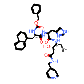 CC(C)C[C@H](NC(=O)C(Cc1c[nH]cn1)NC(=O)[C@@H](Cc1cccc2ccccc12)NC(=O)OCc1ccccc1)[C@@H](O)CC(=O)NCc1ccncc1